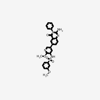 COc1cccc(S(=O)(=O)Nc2cc(-c3ccc4nc(N)n(-c5ccccc5)c(=O)c4c3)cnc2OC)c1